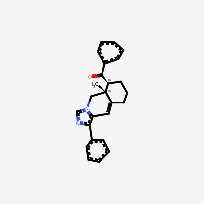 C[C@]12Cn3cnc(-c4ccccc4)c3C=C1CCC[C@@H]2C(=O)c1ccccc1